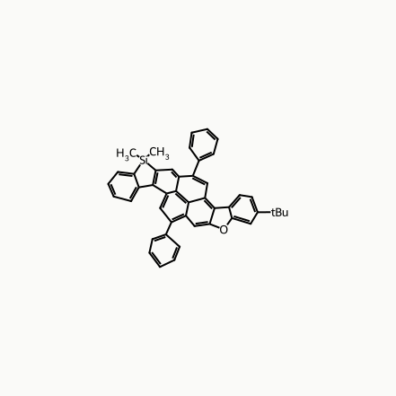 CC(C)(C)c1ccc2c(c1)oc1cc3c(-c4ccccc4)cc4c5c(cc6c(-c7ccccc7)cc(c12)c3c64)[Si](C)(C)c1ccccc1-5